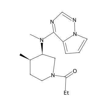 CCC(=O)N1CC[C@@H](C)[C@@H](N(C)c2ncnn3cccc23)C1